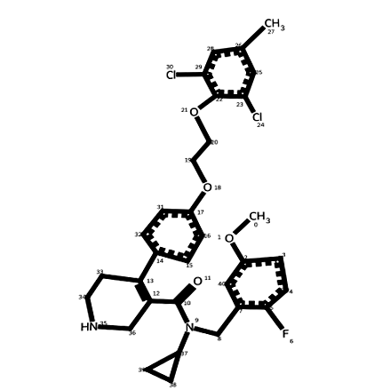 COc1ccc(F)c(CN(C(=O)C2=C(c3ccc(OCCOc4c(Cl)cc(C)cc4Cl)cc3)CCNC2)C2CC2)c1